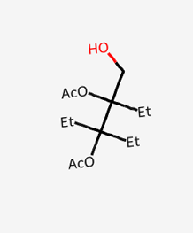 CCC(CC)(OC(C)=O)C(CC)(CO)OC(C)=O